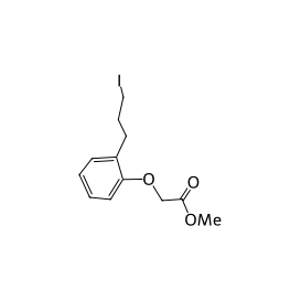 COC(=O)COc1ccccc1CCCI